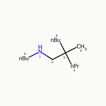 CCCCNCC(C)(CCC)CCCC